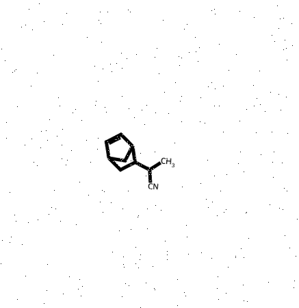 CC(C#N)C1CC2C=CC1C2